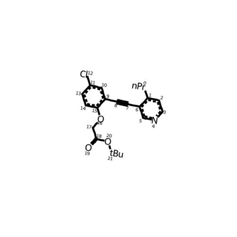 CCCc1ccncc1C#Cc1cc(Cl)ccc1OCC(=O)OC(C)(C)C